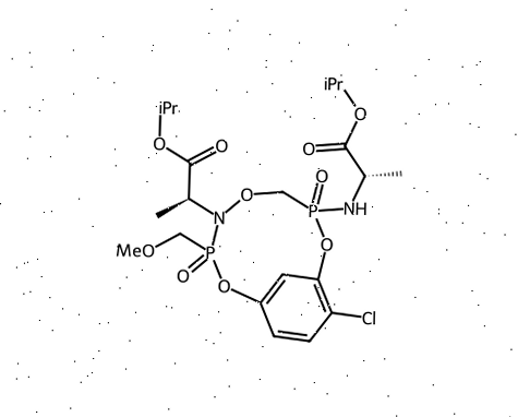 COCP1(=O)Oc2ccc(Cl)c(c2)OP(=O)(N[C@@H](C)C(=O)OC(C)C)CON1[C@@H](C)C(=O)OC(C)C